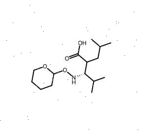 CC(C)CC(C(=O)O)[C@@H](NOC1CCCCO1)C(C)C